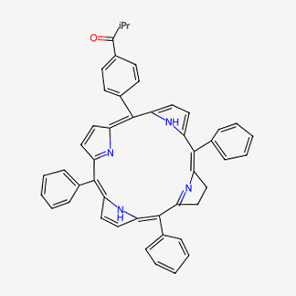 CC(C)C(=O)c1ccc(-c2c3nc(c(-c4ccccc4)c4ccc([nH]4)c(-c4ccccc4)c4nc(c(-c5ccccc5)c5ccc2[nH]5)CC4)C=C3)cc1